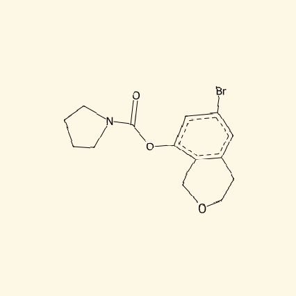 O=C(Oc1cc(Br)cc2c1COCC2)N1CCCC1